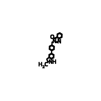 C=C1Cc2cc(-c3ccc(Cn4cnc5ccccc5c4=O)cc3)ccc2N1